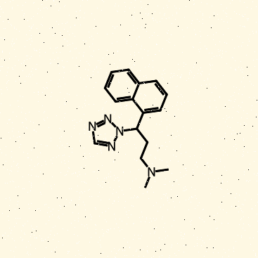 CN(C)CCC(c1cccc2ccccc12)n1ncnn1